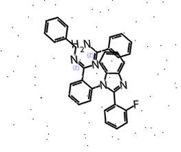 N/C(=N\C(=N/Cc1ccccc1)c1ccccc1-n1c(-c2ccccc2F)nc2ccccc21)c1ccccc1